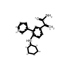 C=C(C(N)=O)c1ccc(NC2CCCCC2)c(-c2cccnc2)c1